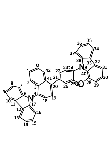 c1ccc2c(-n3c4ccccc4c4ccccc43)ccc(-c3ccc4c(c3)Oc3cccc5c6ccccc6n-4c35)c2c1